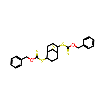 S=C(OCc1ccccc1)SC1CCC2C(=S)C1CCC2SC(=S)OCc1ccccc1